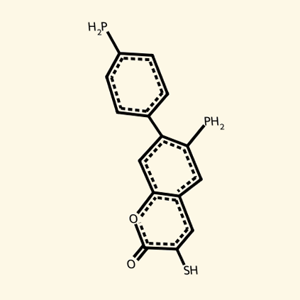 O=c1oc2cc(-c3ccc(P)cc3)c(P)cc2cc1S